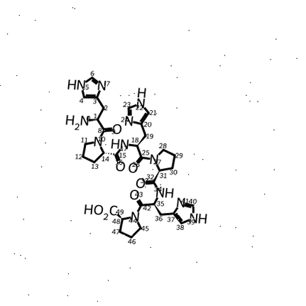 N[C@@H](Cc1c[nH]cn1)C(=O)N1CCC[C@H]1C(=O)N[C@@H](Cc1c[nH]cn1)C(=O)N1CCC[C@H]1C(=O)N[C@@H](Cc1c[nH]cn1)C(=O)N1CCC[C@H]1C(=O)O